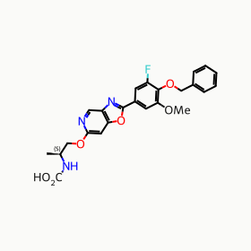 COc1cc(-c2nc3cnc(OC[C@H](C)NC(=O)O)cc3o2)cc(F)c1OCc1ccccc1